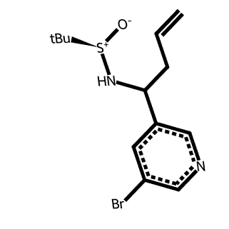 C=CCC(N[S@+]([O-])C(C)(C)C)c1cncc(Br)c1